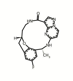 C[C@H]1Nc2ccn3ncc(c3n2)C(=O)NCC[C@H]2Cc3cc(F)cc1c3O2